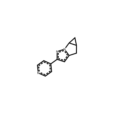 c1cc(-c2cc3n(n2)C2CC2C3)ccn1